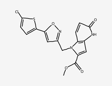 COC(=O)c1cc2[nH]c(=O)ccc2n1Cc1cc(-c2ccc(Cl)s2)on1